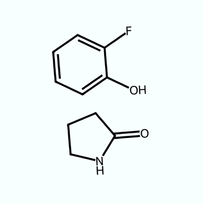 O=C1CCCN1.Oc1ccccc1F